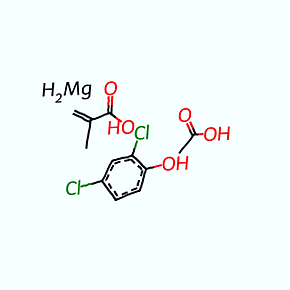 C=C(C)C(=O)O.CC(=O)O.Oc1ccc(Cl)cc1Cl.[MgH2]